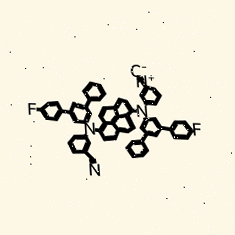 [C-]#[N+]c1cccc(N(c2cc(-c3ccccc3)cc(-c3ccc(F)cc3)c2)c2ccc3ccc4c(N(c5cccc(C#N)c5)c5cc(-c6ccccc6)cc(-c6ccc(F)cc6)c5)ccc5ccc2c3c54)c1